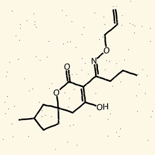 C=CCON=C(CCC)C1=C(O)CC2(CCC(C)C2)OC1=O